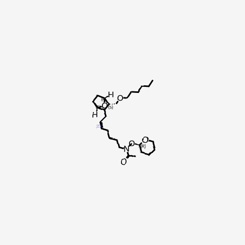 CCCCCCOC[C@@H]1C(C/C=C\CCCCN(O[C@@H]2CCCCO2)C(C)=O)[C@@H]2CC[C@H]1O2